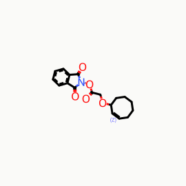 O=C(COC1/C=C\CCCCC1)ON1C(=O)c2ccccc2C1=O